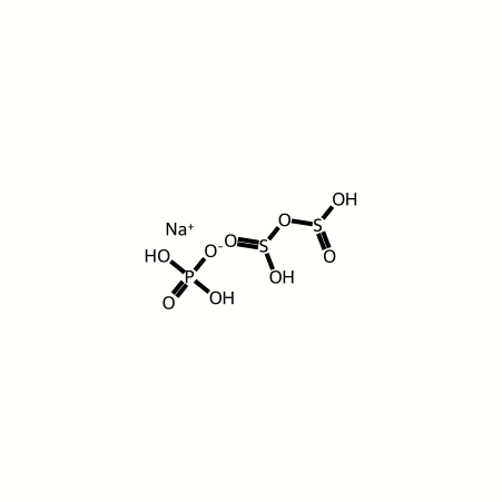 O=P([O-])(O)O.O=S(O)OS(=O)O.[Na+]